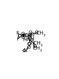 COCCOC(=O)n1nc(NC(=O)c2ccc(OCCN3CCCC3)cc2N[C@@H](C)COC)c2c1CCN(S(=O)(=O)c1cc(F)cc(F)c1)C2